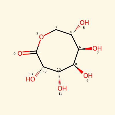 O=C1OC[C@H](O)[C@@H](O)[C@@H](O)[C@H](O)[C@@H]1O